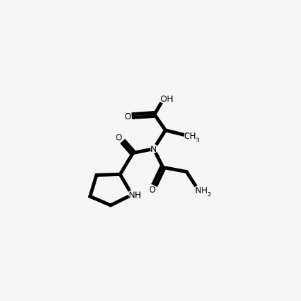 CC(C(=O)O)N(C(=O)CN)C(=O)C1CCCN1